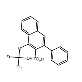 CCC(O)(O)Oc1c(C(=O)O)c(-c2ccccc2)cc2ccccc12